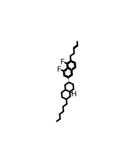 C/C=C/CCc1ccc2cc([C@@H]3CC[C@@H]4CC(CCCCCC)CCC4C3)cc(F)c2c1F